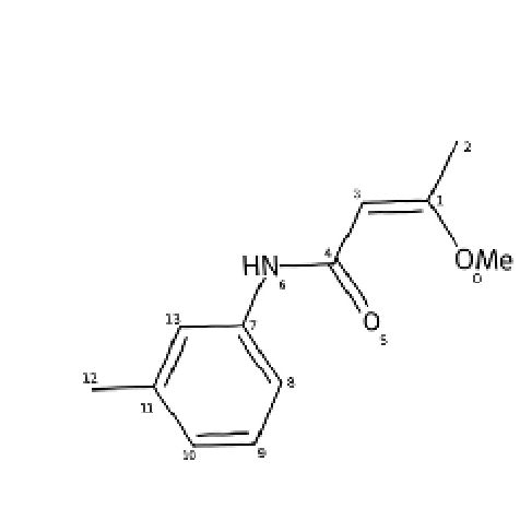 CO/C(C)=C\C(=O)Nc1cccc(C)c1